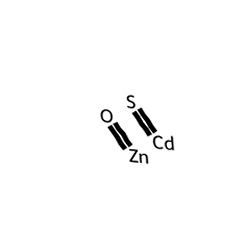 [O]=[Zn].[S]=[Cd]